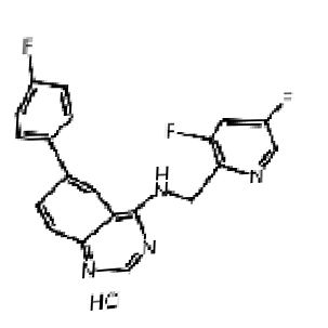 Cl.Fc1ccc(-c2ccc3ncnc(NCc4ncc(F)cc4F)c3c2)cc1